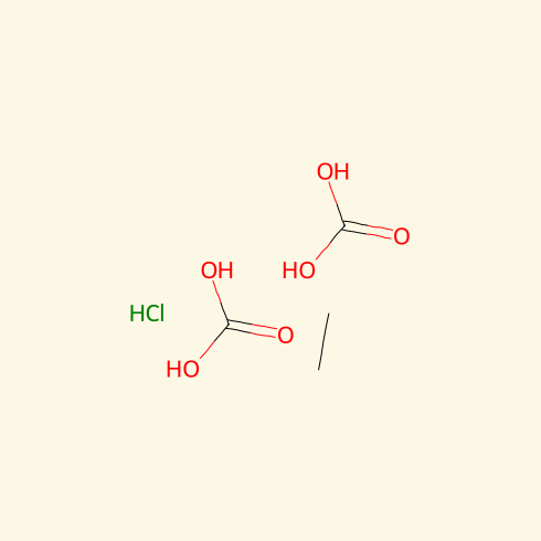 CC.Cl.O=C(O)O.O=C(O)O